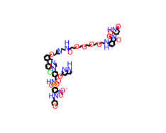 O=C(CCOCCOCCOCCOCCNc1cccc2c1C(=O)N(C1CCC(=O)NC1=O)C2=O)NCCN1CC(COc2cccc(-c3ccc(Cl)cc3)c2CN2CCN(c3ccc(C(=O)NS(=O)(=O)c4ccc(NCC5CCOCC5)c([N+](=O)[O-])c4)c(Oc4cnc5[nH]ccc5c4)c3)CC2)C1